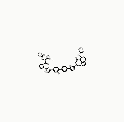 COC(=O)N[C@H]1CCc2ccn3c2C1C(=O)C[C@H](c1ncc(-c2ccc(-c4ccc(-c5c[nH]c([C@@H]6CCCN6C(=O)[C@@H](NC(=O)OC)C(C)C)n5)cc4F)cc2)[nH]1)C3